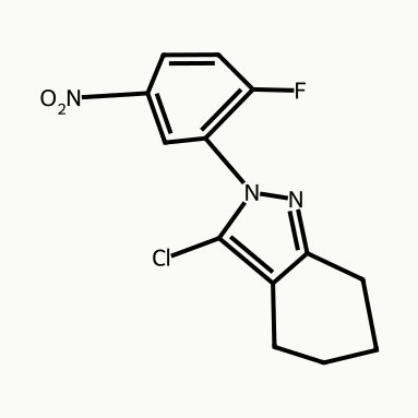 O=[N+]([O-])c1ccc(F)c(-n2nc3c(c2Cl)CCCC3)c1